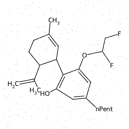 C=C(C)C1CCC(C)=CC1c1c(O)cc(CCCCC)cc1OC(F)CF